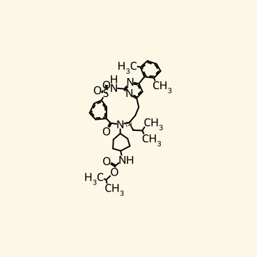 Cc1cccc(C)c1-c1cc2nc(n1)NS(=O)(=O)c1cccc(c1)C(=O)N(C1CCC(NC(=O)OC(C)C)CC1)[C@H](CC(C)C)CC2